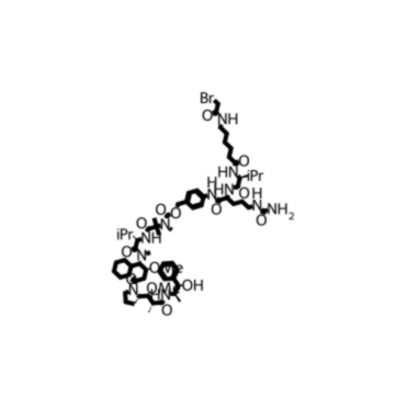 CO[C@H]([C@@H](C)C(=O)N[C@H](C)[C@@H](O)c1ccccc1)[C@@H]1CCCN1C(=O)C[C@@H](OC)[C@H](C1CCCCC1)N(C)C(=O)[C@@H](NC(=O)C(C)(C)N(C)C(=O)OCc1ccc(NC(=O)C(CCCNC(N)=O)NC(=O)[C@@H](NC(=O)CCCCCNC(=O)CBr)C(C)C)cc1)C(C)C